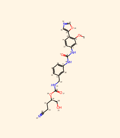 COc1cc(NC(=O)Nc2cccc(CNC(=O)O[C@@H](CO)CCC#N)c2)ccc1-c1cnco1